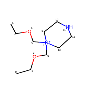 CCOC[N+]1(COCC)CCNCC1